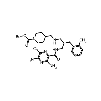 Cc1ccccc1C[C@H](CNCC1CCN(C(=O)OC(C)(C)C)CC1)CNC(=O)c1nc(Cl)c(N)nc1N